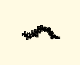 Cn1c(-c2ccc(OC(F)F)c(F)c2F)cnc1C(=O)Nc1ccc(C(=O)N2CCN(C(=O)C[N+]3(C)CCN(C(=O)OC(C)(C)C)CC3)CC2)c(Cl)c1